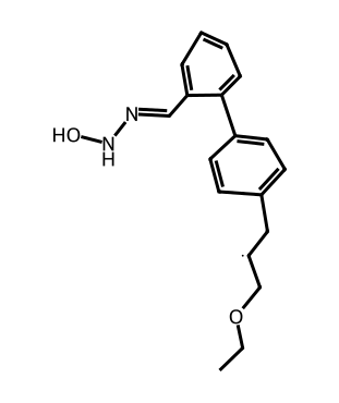 CCOC[CH]Cc1ccc(-c2ccccc2C=NNO)cc1